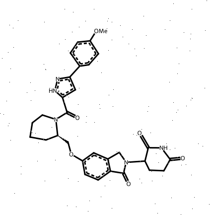 COc1ccc(-c2cc(C(=O)N3CCCC[C@@H]3COc3ccc4c(c3)CN(C3CCC(=O)NC3=O)C4=O)[nH]n2)cc1